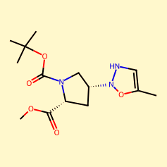 COC(=O)[C@H]1C[C@@H](N2NC=C(C)O2)CN1C(=O)OC(C)(C)C